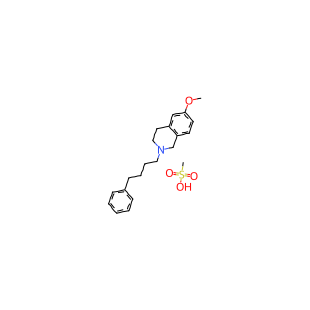 COc1ccc2c(c1)CCN(CCCCc1ccccc1)C2.CS(=O)(=O)O